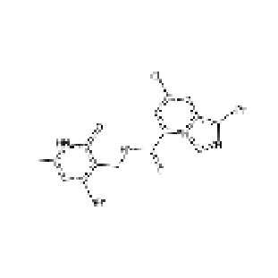 CCCc1cc(C)[nH]c(=O)c1CNC(=O)c1cc(Cl)cc2c(C(C)C)ncn12